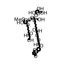 C#CCNC(=O)CCCCCO[C@H]1C[C@@H](O)[C@@H](OC)O[C@@H]1COCO[C@H](CO[C@H]1O[C@H](CO)[C@@H](O)C[C@H]1O)[C@H](CCO)OCCCCCC(=O)NCCOCCOCCNC(=O)C1CCC(CN2C(=O)C=CC2=O)CC1